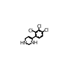 Clc1ccc(C2=CCNCN2)c(Cl)c1Cl